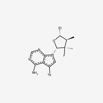 [3H]c1cn([C@@H]2O[C@H](CC)[C@@H](C)[C@@]2(C)F)c2ncnc(N)c12